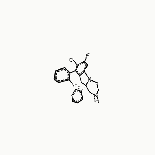 Nc1ccccc1-c1c(Cl)c(F)cc2c1C[C@]1(c3ccccc3)CNCCN21